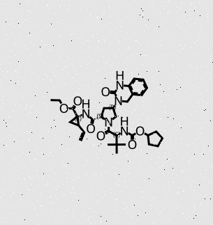 C=CC1C[C@]1(NC(=O)[C@@H]1C[C@@H](N2Cc3ccccc3NC2=O)CN1C(=O)[C@@H](NC(=O)OC1CCCC1)C(C)(C)C)C(=O)OCC